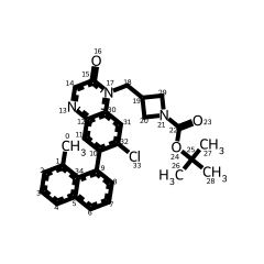 Cc1cccc2cccc(-c3cc4ncc(=O)n(CC5CN(C(=O)OC(C)(C)C)C5)c4cc3Cl)c12